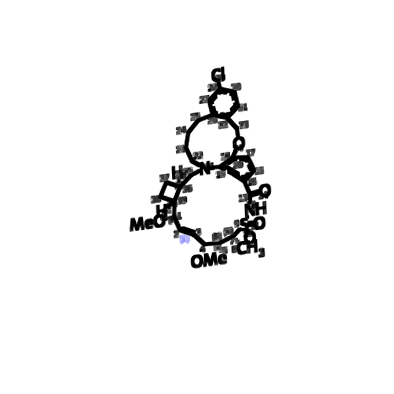 CO[C@H]1/C=C/C[C@@H](OC)[C@@H](C)S(=O)(=O)NC(=O)c2ccc3c(c2)N(CCCCc2cc(Cl)ccc2CO3)C[C@@H]2CC[C@H]21